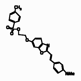 CNc1ccc(C=Cc2nc3ccc(OCCOS(=O)(=O)c4ccc(C)cc4)cc3o2)cc1